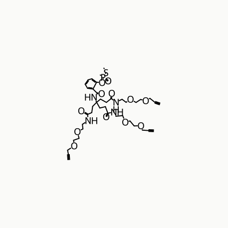 C#CCOCCOCCNC(=O)CCC(CCC(=O)NCCOCCOCC#C)(CCC(=O)NCCOCCOCC#C)NC(=O)c1ccccc1OP(C)(=O)SC